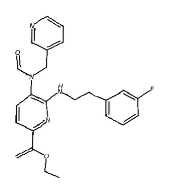 C=C(OCC)c1ccc(N(C=O)Cc2cccnc2)c(NCCc2cccc(F)c2)n1